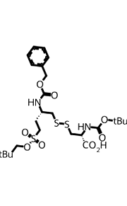 CC(C)(C)COS(=O)(=O)CC[C@@H](CSSC[C@H](NC(=O)OC(C)(C)C)C(=O)O)NC(=O)OCc1ccccc1